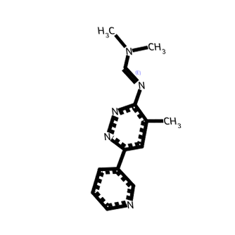 Cc1cc(-c2cccnc2)nnc1/N=C/N(C)C